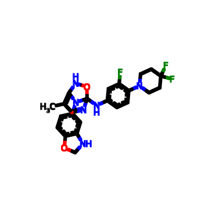 CC1=C2NOC(Nc3ccc(N4CCC(F)(F)CC4)c(F)c3)(N=C1)N2c1ccc2c(c1)NCO2